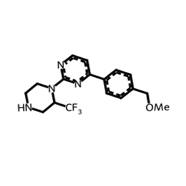 COCc1ccc(-c2ccnc(N3CCNCC3C(F)(F)F)n2)cc1